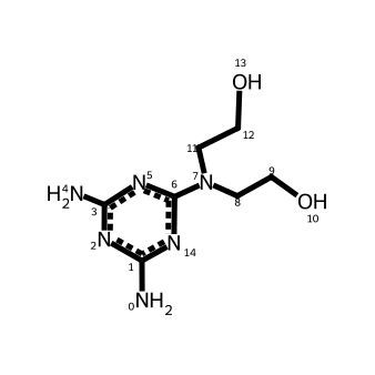 Nc1nc(N)nc(N(CCO)CCO)n1